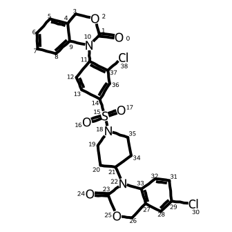 O=C1OCc2ccccc2N1c1ccc(S(=O)(=O)N2CCC(N3C(=O)OCc4cc(Cl)ccc43)CC2)cc1Cl